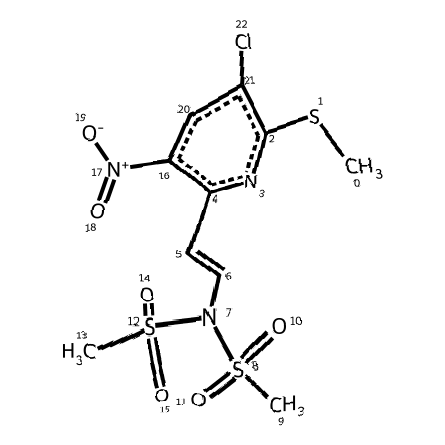 CSc1nc(C=CN(S(C)(=O)=O)S(C)(=O)=O)c([N+](=O)[O-])cc1Cl